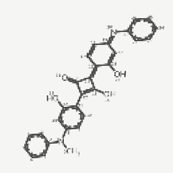 CN(c1ccccc1)c1ccc(C2=C(O)/C(=C3C=C/C(=N/c4ccccc4)C=C/3O)C2=O)c(O)c1